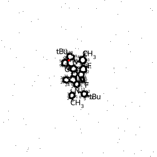 Cc1cccc(N(c2ccc(C(C)(C)C)cc2)c2ccc3c4c(c5ccccc5c3c2)-c2c(cc(N(c3ccc(C(C)(C)C)cc3)c3cccc(C)c3)c3c2oc2ccccc23)C42c3ccc(F)cc3-c3cc(F)ccc32)c1